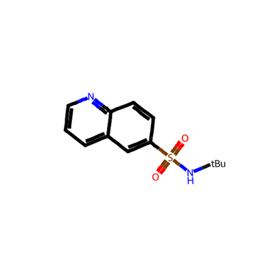 CC(C)(C)NS(=O)(=O)c1ccc2ncccc2c1